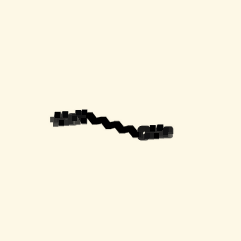 C[N]CCCCCCCCOC